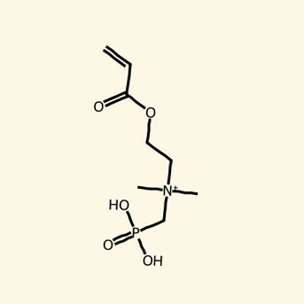 C=CC(=O)OCC[N+](C)(C)CP(=O)(O)O